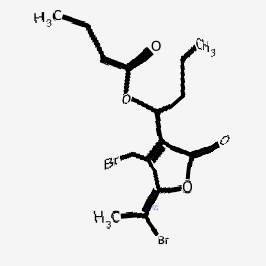 CCCC(=O)OC(CCC)C1=C(Br)/C(=C(\C)Br)OC1=O